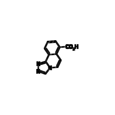 O=C(O)c1cccc2c1ccn1cnnc21